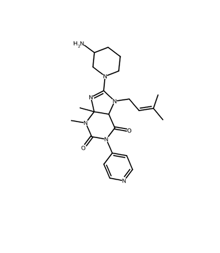 CC(C)=CCN1C(N2CCCC(N)C2)=NC2(C)C1C(=O)N(c1ccncc1)C(=O)N2C